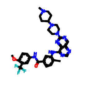 COc1ccc(NC(=O)c2ccc(C)c(Nc3ncnc4cnc(N5CCN(C6CCN(C)CC6)CC5)nc34)c2)cc1C(F)(F)F